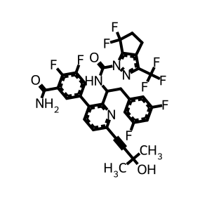 CC(C)(O)C#Cc1ccc(-c2cc(F)c(F)c(C(N)=O)c2)c(C(Cc2cc(F)cc(F)c2)NC(=O)n2nc(C(F)(F)F)c3c2C(F)(F)CC3)n1